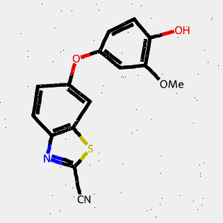 COc1cc(Oc2ccc3nc(C#N)sc3c2)ccc1O